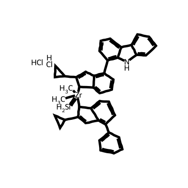 Cl.Cl.[CH3][Zr]([CH3])(=[SiH2])([CH]1C(C2CC2)=Cc2c(-c3ccccc3)cccc21)[CH]1C(C2CC2)=Cc2c(-c3cccc4c3[nH]c3ccccc34)cccc21